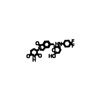 O=C1CCC(N2Cc3cc(C[C@H]4O[C@H](O)CC[C@@H]4NC4CCC(F)(F)CC4)ccc3C2=O)C(=O)N1